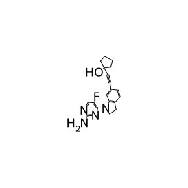 Nc1ncc(F)c(N2CCc3ccc(C#CC4(O)CCCC4)cc32)n1